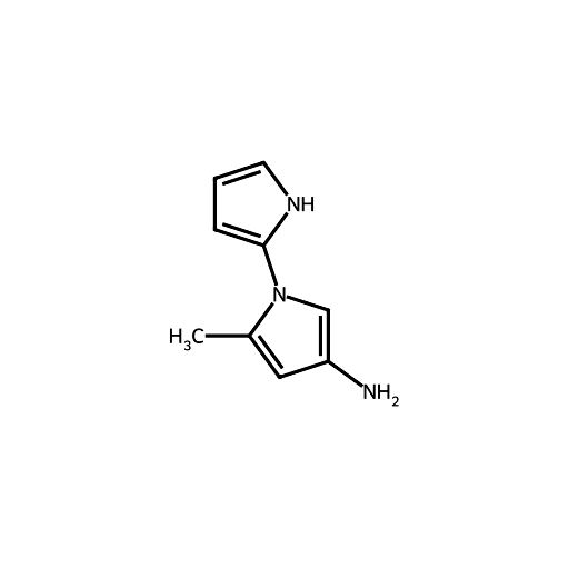 Cc1cc(N)cn1-c1ccc[nH]1